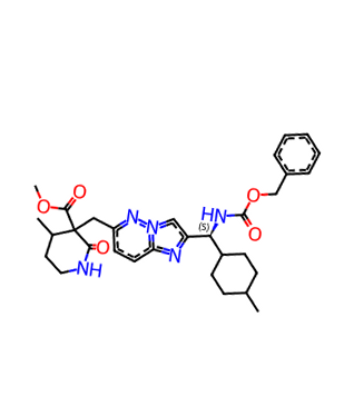 COC(=O)C1(Cc2ccc3nc([C@@H](NC(=O)OCc4ccccc4)C4CCC(C)CC4)cn3n2)C(=O)NCCC1C